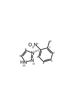 Cc1ccccc1[N+](=O)[O-].c1c[nH]nn1